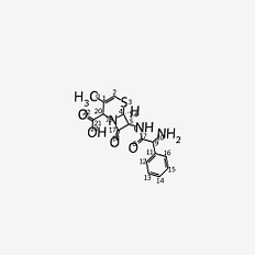 CC1=CS[C@H]2C(NC(=O)C(N)c3ccccc3)C(=O)N2C1C(=O)O